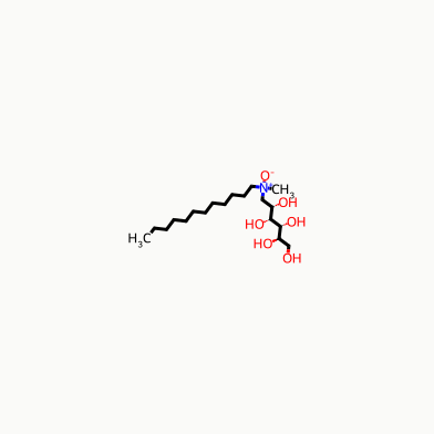 CCCCCCCCCCCC[N+](C)([O-])C[C@H](O)[C@@H](O)[C@H](O)[C@H](O)CO